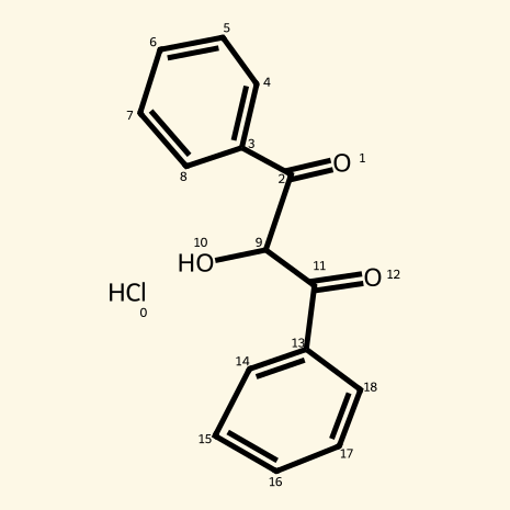 Cl.O=C(c1ccccc1)C(O)C(=O)c1ccccc1